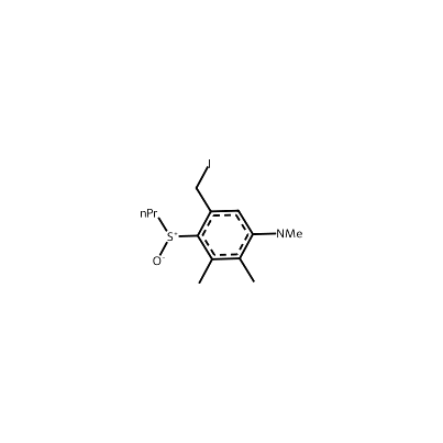 CCC[S+]([O-])c1c(CI)cc(NC)c(C)c1C